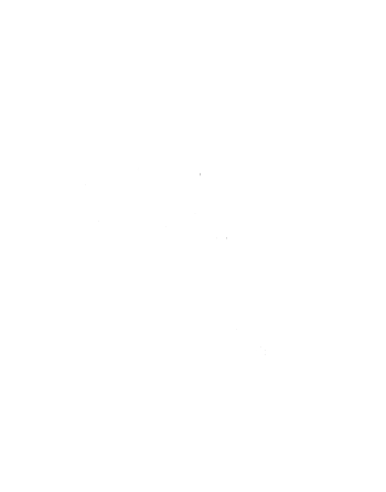 COc1ccc(C=C(C(=O)O)C2CC3C=CC2C3)c(C)c1